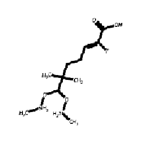 C[SiH2]OC(O[SiH2]C)C(C)(C)CC/C=C(\F)C(=O)O